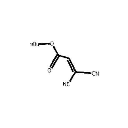 CCCCOC(=O)C=C(C#N)C#N